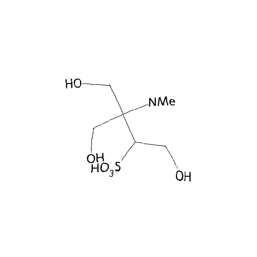 CNC(CO)(CO)C(CO)S(=O)(=O)O